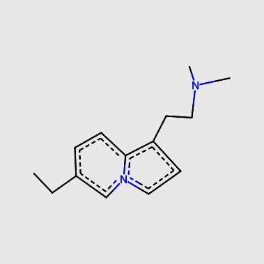 CCc1ccc2c(CCN(C)C)ccn2c1